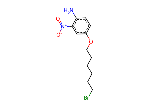 Nc1ccc(OCCCCCCBr)cc1[N+](=O)[O-]